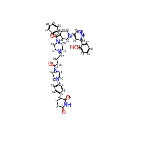 O=C1CC[C@H](c2ccc(N3CCN(C(=O)CCCN4CCN(C(=O)C5(c6ccccc6)CCN(c6cnnc(-c7ccccc7O)c6)CC5)CC4)CC3)cc2)C(=O)N1